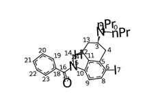 CCCN(CCC)[C@H]1Cc2c(I)ccc3c2[C@H](C1)CN3C(=O)c1ccccc1